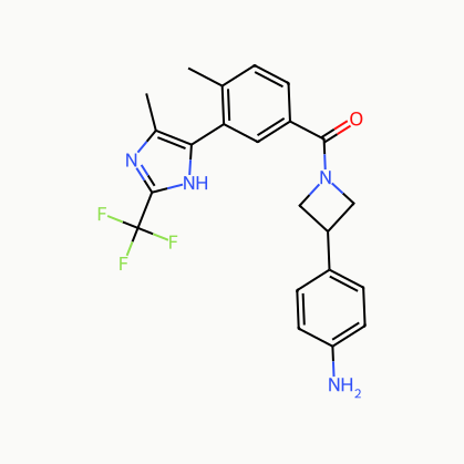 Cc1ccc(C(=O)N2CC(c3ccc(N)cc3)C2)cc1-c1[nH]c(C(F)(F)F)nc1C